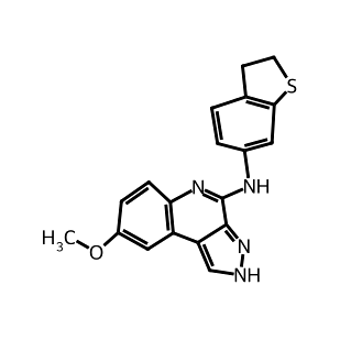 COc1ccc2nc(Nc3ccc4c(c3)SCC4)c3n[nH]cc3c2c1